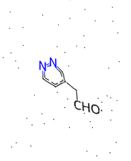 O=[C]Cc1ccnnc1